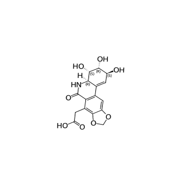 O=C(O)Cc1c2c(cc3c1C(=O)N[C@@H]1C3=C[C@H](O)[C@@H](O)[C@H]1O)OCO2